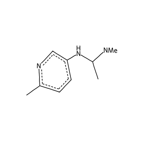 CNC(C)Nc1ccc(C)nc1